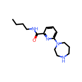 CCCCNC(=O)c1cccc(N2CCCNCC2)n1